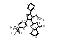 CCn1c(-c2ccccc2)nc(-c2ccc(C(C)(C)C)cc2)c1C(=O)N[C@@H](C)c1ccccc1